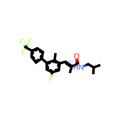 C/C(=C\c1cc(F)cc(-c2ccc(C(F)(F)F)cc2)c1C)C(=O)NCC(C)C